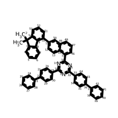 CC1(C)c2ccccc2-c2c(-c3ccc4c(-c5nc(-c6ccc(-c7ccccc7)cc6)nc(-c6ccc(-c7ccccc7)cc6)n5)cccc4c3)cccc21